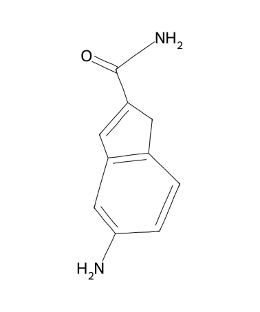 NC(=O)C1=Cc2cc(N)ccc2C1